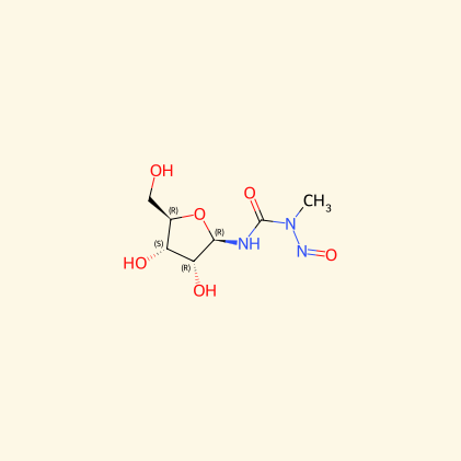 CN(N=O)C(=O)N[C@@H]1O[C@H](CO)[C@@H](O)[C@H]1O